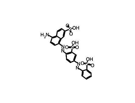 Nc1ccc(N=Nc2ccc(N=Nc3ccccc3S(=O)(=O)O)cc2S(=O)(=O)O)c2cc(S(=O)(=O)O)ccc12